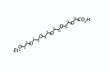 CCOCCOCCOCCOCCOCCOCC(=O)O